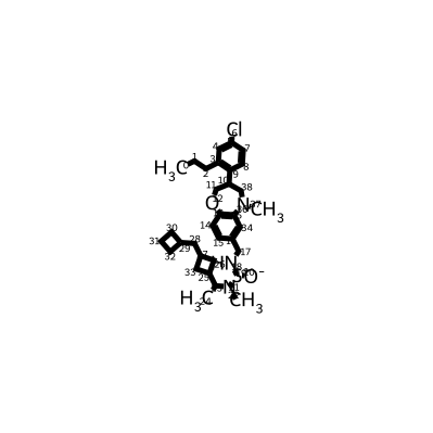 CCCc1cc(Cl)ccc1C1COc2ccc(CN[S+]([O-])N(C)C(C)C3CC(CC4CCC4)C3)cc2N(C)C1